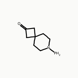 O=C1CC2(CCN(P)CC2)C1